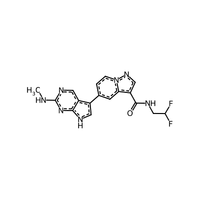 CNc1ncc2c(-c3ccn4ncc(C(=O)NCC(F)F)c4c3)c[nH]c2n1